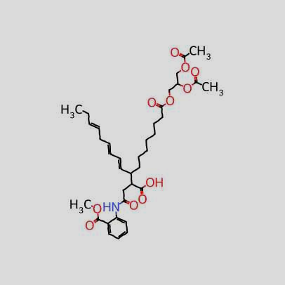 CC/C=C/C/C=C/C=C/C(CCCCCCCC(=O)OCC(COC(C)=O)OC(C)=O)C(CC(=O)Nc1ccccc1C(=O)OC)C(=O)O